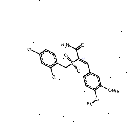 CCOc1ccc(/C=C(/C(N)=O)S(=O)(=O)Cc2ccc(Cl)cc2Cl)cc1OC